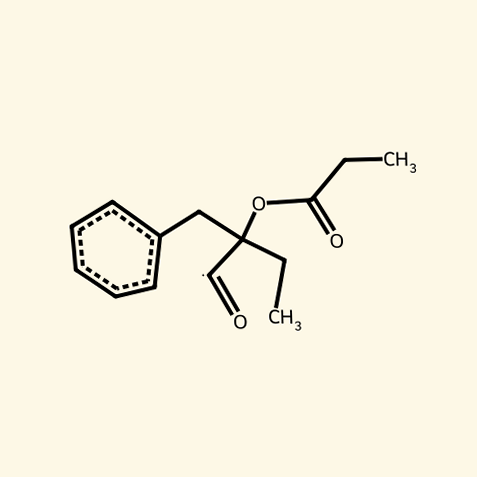 CCC(=O)OC([C]=O)(CC)Cc1ccccc1